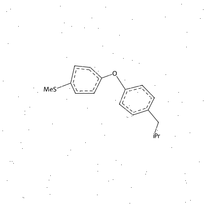 CSc1ccc(Oc2ccc(CC(C)C)cc2)cc1